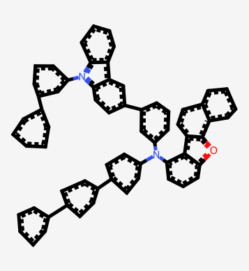 c1ccc(-c2ccc(-c3ccc(N(c4cccc(-c5ccc6c(c5)c5ccccc5n6-c5cccc(-c6ccccc6)c5)c4)c4cccc5oc6c7ccccc7ccc6c45)cc3)cc2)cc1